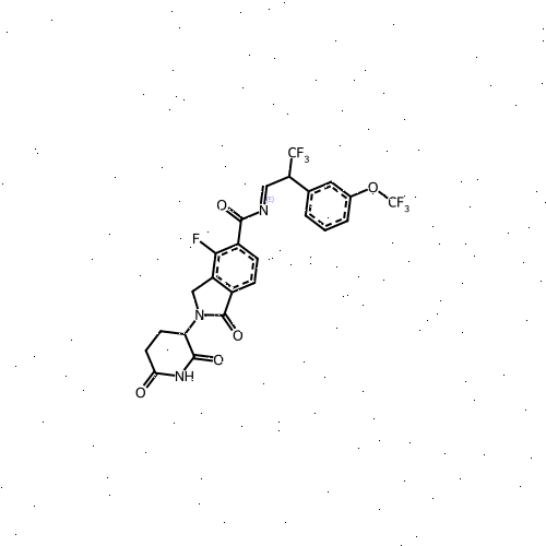 O=C1CCC(N2Cc3c(ccc(C(=O)/N=C/C(c4cccc(OC(F)(F)F)c4)C(F)(F)F)c3F)C2=O)C(=O)N1